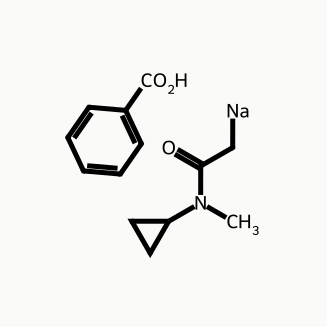 CN(C(=O)[CH2][Na])C1CC1.O=C(O)c1ccccc1